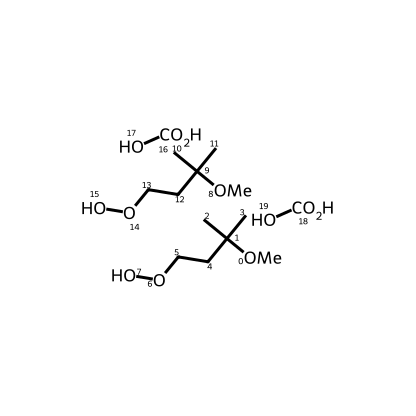 COC(C)(C)CCOO.COC(C)(C)CCOO.O=C(O)O.O=C(O)O